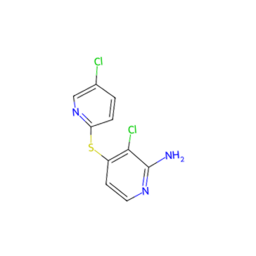 Nc1nccc(Sc2ccc(Cl)cn2)c1Cl